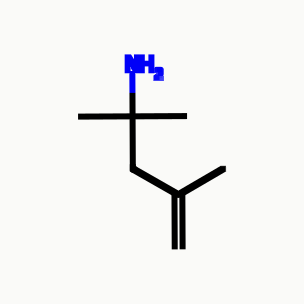 C=C(C)CC(C)(C)N